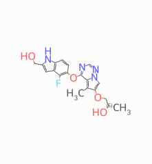 Cc1c(OC[C@H](C)O)cn2ncnc(Oc3ccc4[nH]c(CO)cc4c3F)c12